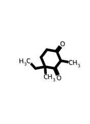 CCC1(C)CCC(=O)C(C)C1=O